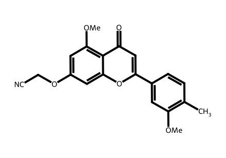 COc1cc(-c2cc(=O)c3c(OC)cc(OCC#N)cc3o2)ccc1C